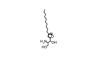 CCCCCCCCCCc1cc(C(O)C(N)CO)on1